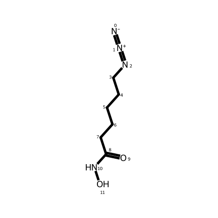 [N-]=[N+]=NCCCCCC(=O)NO